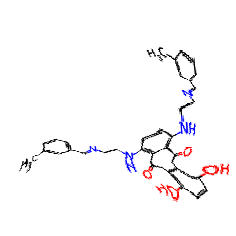 Cc1cccc(/C=N/CCNc2ccc(NCC/N=C/c3cccc(C)c3)c3c2C(=O)c2c(O)ccc(O)c2C3=O)c1